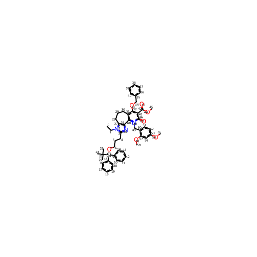 CCn1c(CCCO[Si](c2ccccc2)(c2ccccc2)C(C)(C)C)nc2c1CCCc1c(OCc3ccccc3)c(C(=O)OC)c(=O)n(Cc3ccc(OC)cc3OC)c1-2